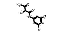 NC(=O)C(O)C(=O)Nc1cc(Cl)cc(Cl)c1